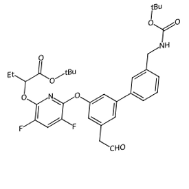 CCC(Oc1nc(Oc2cc(CC=O)cc(-c3cccc(CNC(=O)OC(C)(C)C)c3)c2)c(F)cc1F)C(=O)OC(C)(C)C